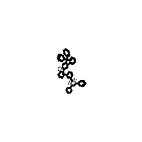 c1ccc(-c2cc(-c3ccccc3)nc(-c3cccc(-c4cccc5oc6cc7c(cc6c45)-c4ccccc4C7(c4ccccc4)c4ccccc4)c3)n2)cc1